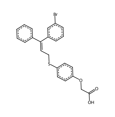 O=C(O)COc1ccc(SCC=C(c2ccccc2)c2cccc(Br)c2)cc1